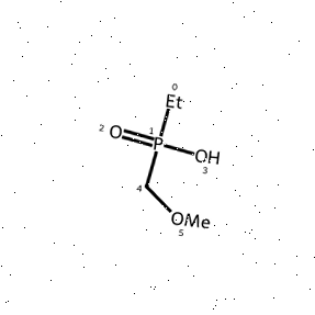 CCP(=O)(O)COC